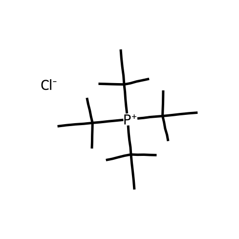 CC(C)(C)[P+](C(C)(C)C)(C(C)(C)C)C(C)(C)C.[Cl-]